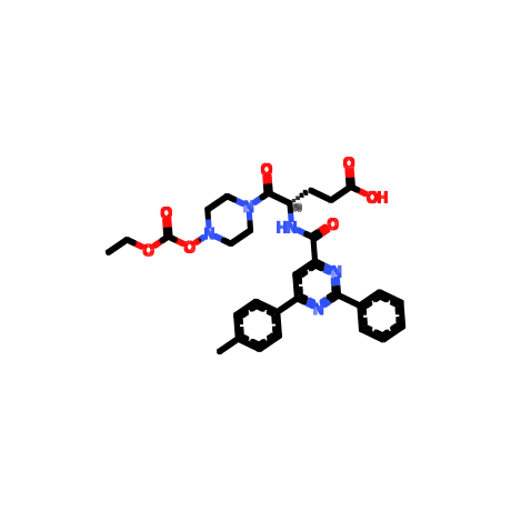 CCOC(=O)ON1CCN(C(=O)[C@H](CCC(=O)O)NC(=O)c2cc(-c3ccc(C)cc3)nc(-c3ccccc3)n2)CC1